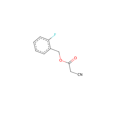 N#CCC(=O)OCc1ccccc1F